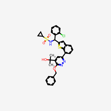 CC(C)(O)c1cc(-c2cccc3cc(C(NS(=O)(=O)C4CC4)c4ccccc4Cl)sc23)nnc1OCc1ccccc1